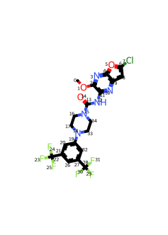 COc1nc2oc(Cl)cc2nc1NC(=O)N1CCN(c2cc(C(F)(F)F)cc(C(F)(F)F)c2)CC1